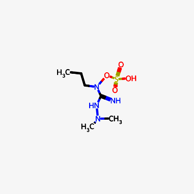 CCCN(OS(=O)(=O)O)C(=N)NN(C)C